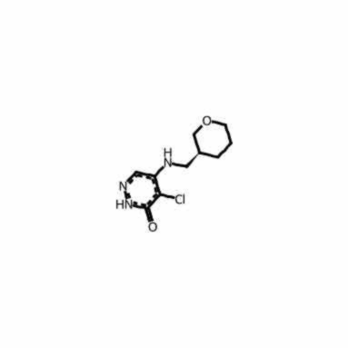 O=c1[nH]ncc(NC[C@@H]2CCCOC2)c1Cl